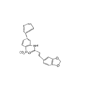 O=C(C=Cc1ccc2c(c1)OCO2)Nc1cc(-c2ccccc2)ccc1C(=O)O